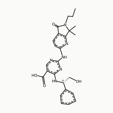 CCCN1C(=O)c2ccc(Nc3ncc(C(=O)O)c(N[C@H](CO)c4ccccc4)n3)nc2C1(C)C